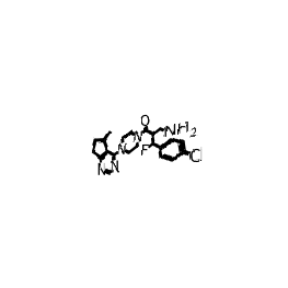 CC1CCc2ncnc(N3CCN(C(=O)C(CN)C(F)c4ccc(Cl)cc4)CC3)c21